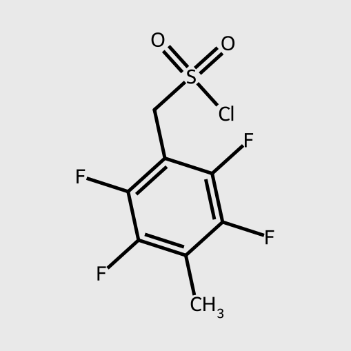 Cc1c(F)c(F)c(CS(=O)(=O)Cl)c(F)c1F